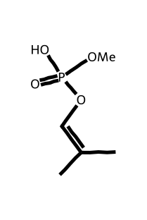 COP(=O)(O)OC=C(C)C